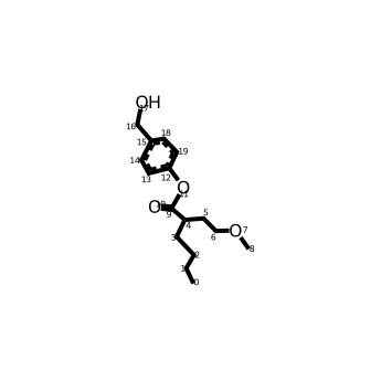 CCCCC(CCOC)C(=O)Oc1ccc(CO)cc1